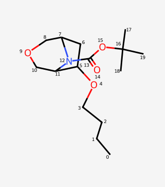 CCCCOC1CC2COCC1N2C(=O)OC(C)(C)C